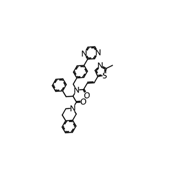 Cc1ncc(C=CC(=O)N(Cc2ccc(-c3cnccn3)cc2)C(Cc2ccccc2)C(=O)N2CCc3ccccc3C2)s1